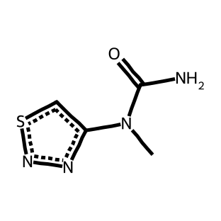 CN(C(N)=O)c1csnn1